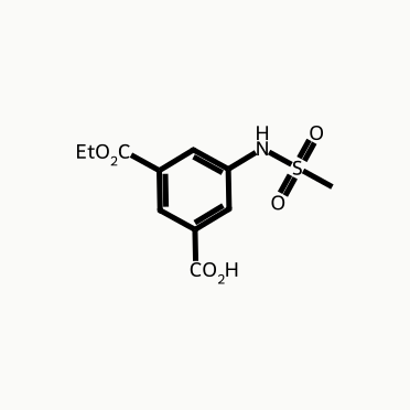 CCOC(=O)c1cc(NS(C)(=O)=O)cc(C(=O)O)c1